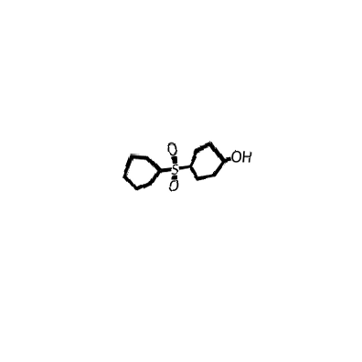 O=S(=O)(C1CCCCC1)C1CCC(O)CC1